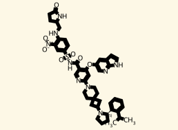 CC(C)c1ccccc1[C@@H]1CCCN1C1CC2(CCN(c3cc(Oc4cnc5[nH]ccc5c4)c(C(=O)NS(=O)(=O)c4ccc(NCC5CCC(=O)N5)c([N+](=O)[O-])c4)cn3)CC2)C1